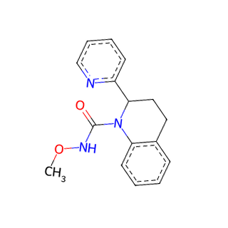 CONC(=O)N1c2ccccc2CCC1c1ccccn1